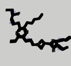 C=C/C=c1/nc(C2CN(C/C=C/c3nc(CCCCC)c(C/C=C\C(F)=C/C)nc3C=C)C2)[nH]/c1=C/C